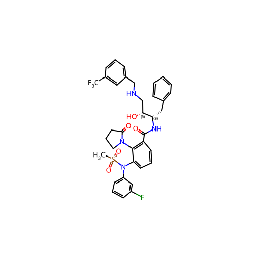 CS(=O)(=O)N(c1cccc(F)c1)c1cccc(C(=O)N[C@@H](Cc2ccccc2)[C@H](O)CNCc2cccc(C(F)(F)F)c2)c1N1CCCC1=O